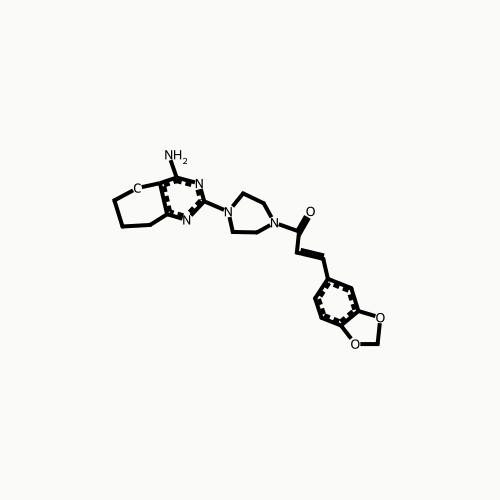 Nc1nc(N2CCN(C(=O)/C=C/c3ccc4c(c3)OCO4)CC2)nc2c1CCCC2